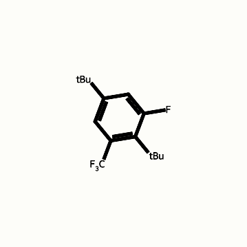 CC(C)(C)c1cc(F)c(C(C)(C)C)c(C(F)(F)F)c1